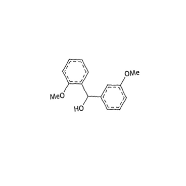 COc1cccc(C(O)c2ccccc2OC)c1